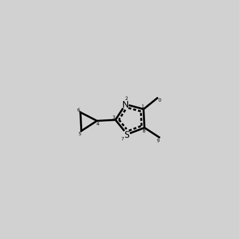 Cc1nc(C2CC2)sc1C